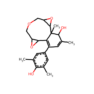 CC1=CC(c2cc(C)c(O)c(C)c2)=C2C3OC3COCC3OC3C2(C)C1O